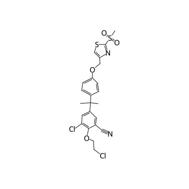 CC(C)(c1ccc(OCc2csc(S(C)(=O)=O)n2)cc1)c1cc(Cl)c(OCCCl)c(C#N)c1